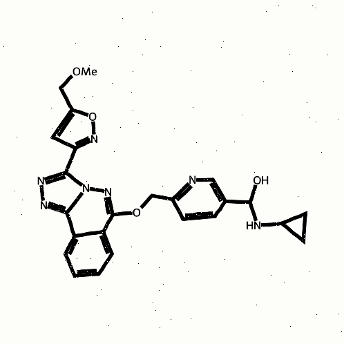 COCc1cc(-c2nnc3c4ccccc4c(OCc4ccc(C(O)NC5CC5)cn4)nn23)no1